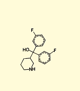 OC(c1cccc(F)c1)(c1cccc(F)c1)C1CCCNC1